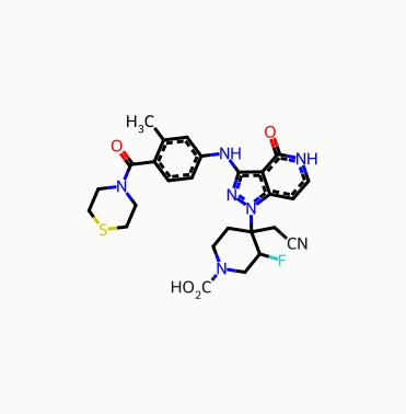 Cc1cc(Nc2nn(C3(CC#N)CCN(C(=O)O)CC3F)c3cc[nH]c(=O)c23)ccc1C(=O)N1CCSCC1